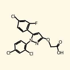 O=C(O)COc1cc(-c2ccc(Cl)cc2F)n(-c2ccc(Cl)cc2Cl)n1